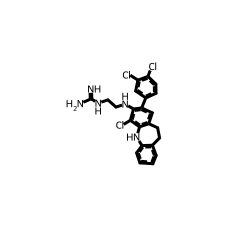 N=C(N)NCCNc1c(-c2ccc(Cl)c(Cl)c2)cc2c(c1Cl)Nc1ccccc1CC2